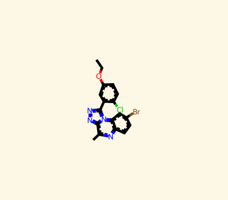 CCOc1ccc(Cl)c(-c2nnc3c(C)nc4ccc(Br)cc4n23)c1